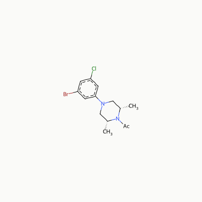 CC(=O)N1[C@H](C)CN(c2cc(Cl)cc(Br)c2)C[C@@H]1C